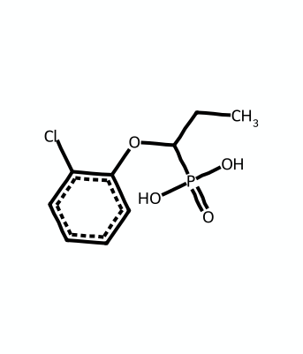 CCC(Oc1ccccc1Cl)P(=O)(O)O